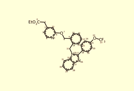 CCOC(=O)Cc1ccnc(OCc2ccccc2Cn2c(-c3ccc(OC(F)(F)F)cc3)nc3ccccc32)c1